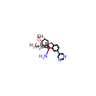 BC1(B)OC(N)=N[C@]12c1cc(-c3cncnc3)ccc1C[C@@]21CC[C@H](OC)[C@@H](CC)C1